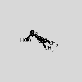 CCCCCCC1(c2ccc(CCC)cc2)Oc2ccc(CC(=O)c3cn(CCCC(=O)O)c4ccccc34)cc2O1